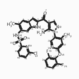 Cc1cc2cc(C(=O)c3cnn(-c4cnc(Oc5c(F)cccc5F)cc4C)c3N)[nH]c2cc1NS(=O)(=O)c1cccc(Cl)n1